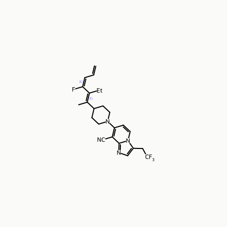 C=C/C=C(F)\C(CC)=C(/C)C1CCN(c2ccn3c(CC(F)(F)F)cnc3c2C#N)CC1